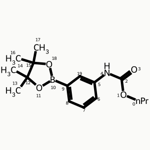 CCCOC(=O)Nc1cccc(B2OC(C)(C)C(C)(C)O2)c1